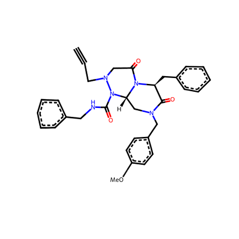 C#CCN1CC(=O)N2[C@@H](Cc3ccccc3)C(=O)N(Cc3ccc(OC)cc3)C[C@@H]2N1C(=O)NCc1ccccc1